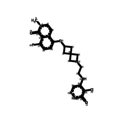 Cn1ccc2c(OC3CC4(C3)CN(CCNc3cn[nH]c(=O)c3Cl)C4)ccc(F)c2c1=O